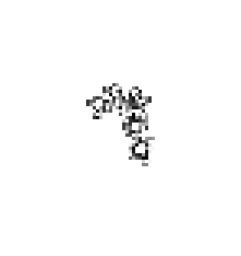 O=C(N1CCC2(C1)OCc1ccccc12)C1(Sc2ccc(-c3ccc(F)cc3)cc2)CC1